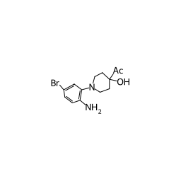 CC(=O)C1(O)CCN(c2cc(Br)ccc2N)CC1